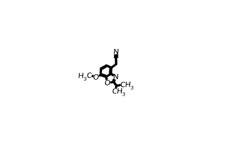 COc1ccc(CC#N)c2nc(C(C)C)oc12